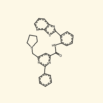 O=C(Nc1ccccc1-c1nc2cccnc2s1)c1cc(CN2CCCC2)nc(-c2ccccc2)n1